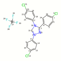 Clc1ccc(-c2n[n+](-c3ccc(Cl)cc3)cn2-c2ccc(Cl)cc2)cc1.F[B-](F)(F)F